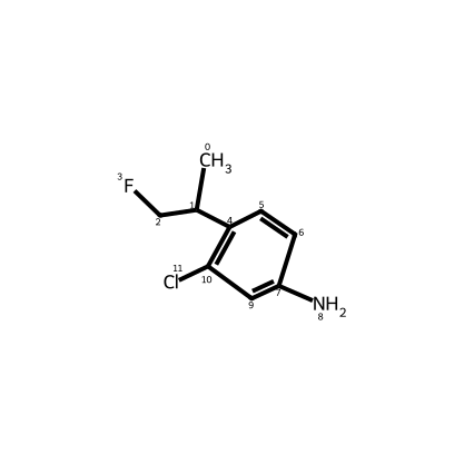 CC(CF)c1ccc(N)cc1Cl